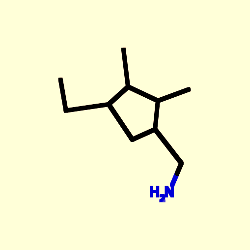 CCC1CC(CN)C(C)C1C